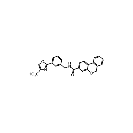 O=C(NCc1cccc(-c2nc(C(=O)O)co2)c1)c1ccc2c(c1)OCc1cnccc1-2